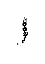 CCCCCCc1cnc(-c2ccc(-c3ccc(OC(F)(F)F)cc3)cc2)nc1